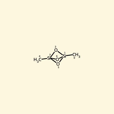 C[Si]12O[Si](C)(O1)O2